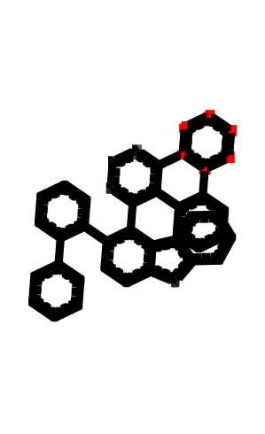 c1ccc(-c2ccccc2-c2ccc3sc4ccccc4c3c2-c2nnnc(-c3ccccc3)c2-c2ccccc2-c2ccccc2)cc1